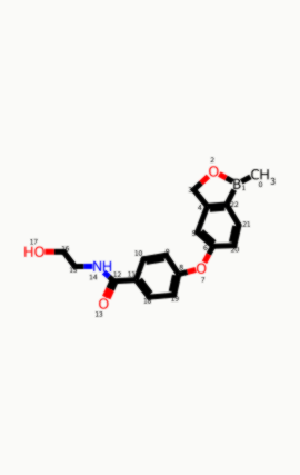 CB1OCc2cc(Oc3ccc(C(=O)NCCO)cc3)ccc21